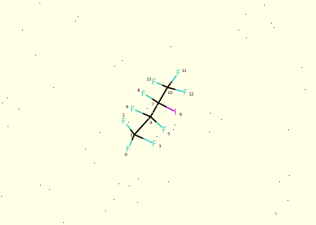 FC(F)(F)C(F)(F)C(F)(I)C(F)(F)F